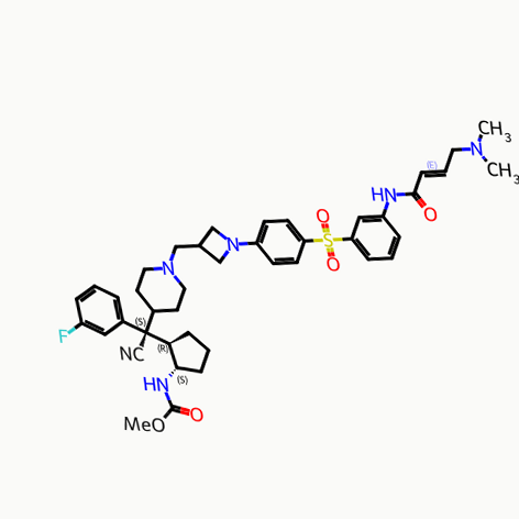 COC(=O)N[C@H]1CCC[C@@H]1[C@](C#N)(c1cccc(F)c1)C1CCN(CC2CN(c3ccc(S(=O)(=O)c4cccc(NC(=O)/C=C/CN(C)C)c4)cc3)C2)CC1